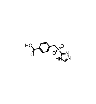 O=C(O)c1ccc(CS(=O)(=O)c2nnc[nH]2)cc1